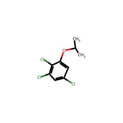 CC(C)Oc1cc(Cl)cc(Cl)c1Cl